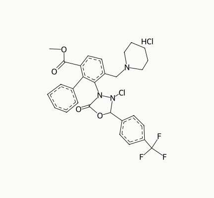 COC(=O)c1ccc(CN2CCCCC2)c(N2C(=O)OC(c3ccc(C(F)(F)F)cc3)N2Cl)c1-c1ccccc1.Cl